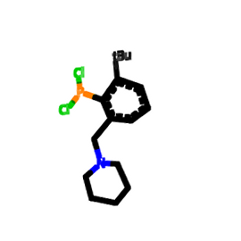 CC(C)(C)c1cccc(CN2CCCCC2)c1P(Cl)Cl